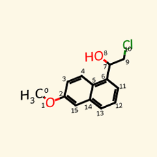 COc1ccc2c(C(O)CCl)cccc2c1